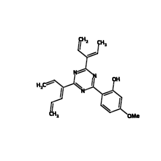 C=C/C=C(\C=C)c1nc(/C(C=C)=C/C)nc(-c2ccc(OC)cc2O)n1